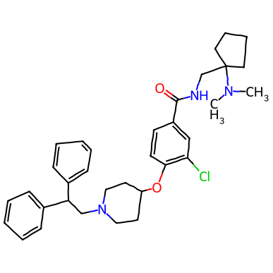 CN(C)C1(CNC(=O)c2ccc(OC3CCN(CC(c4ccccc4)c4ccccc4)CC3)c(Cl)c2)CCCC1